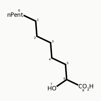 CCCCCCCCCCC(O)C(=O)O